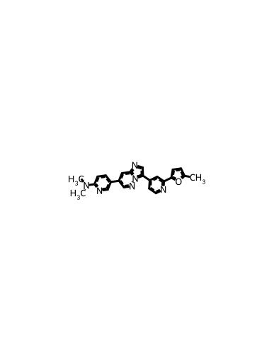 Cc1ccc(-c2cc(-c3cnc4cc(-c5ccc(N(C)C)nc5)cnn34)ccn2)o1